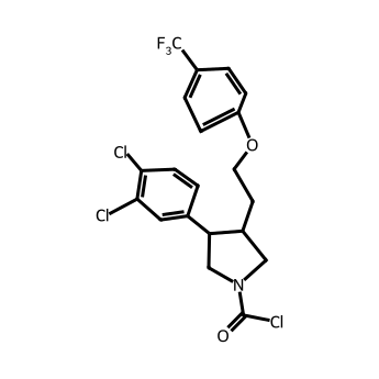 O=C(Cl)N1CC(CCOc2ccc(C(F)(F)F)cc2)C(c2ccc(Cl)c(Cl)c2)C1